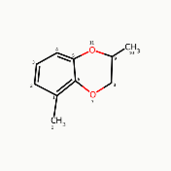 Cc1cccc2c1OCC(C)O2